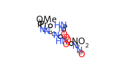 COc1ccc(CN2CCN(C3CC4(CCN(c5ccc(C(=O)NS(=O)(=O)c6ccc(N7CCC(N8CCOCC8)C7)c([N+](=O)[O-])c6)c(Oc6cnc7[nH]ccc7c6)c5)CC4)C3)C(c3ccccc3C(C)C)C2)cc1